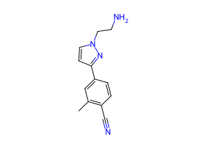 Cc1cc(-c2ccn(CCN)n2)ccc1C#N